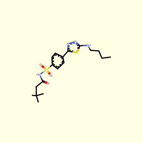 CCCCNc1nnc(-c2ccc(S(=O)(=O)NC(=O)CC(C)(C)C)cc2)s1